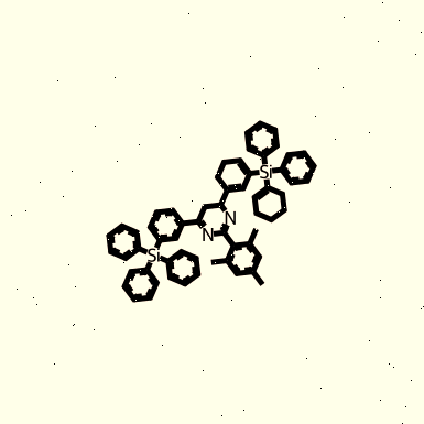 Cc1cc(C)c(C2=NC(C3=CC([Si](C4=CCCCC4)(c4ccccc4)c4ccccc4)=CCC3)CC(c3cccc([Si](c4ccccc4)(c4ccccc4)c4ccccc4)c3)=N2)c(C)c1